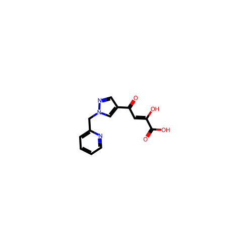 O=C(O)C(O)=CC(=O)c1cnn(Cc2ccccn2)c1